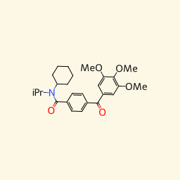 COc1cc(C(=O)c2ccc(C(=O)N(C(C)C)C3CCCCC3)cc2)cc(OC)c1OC